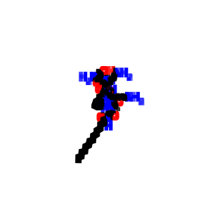 CCCCCCCCCCCCCCCC(=O)NCC(=O)N[C@@H](C)C(=O)N[C@@H](CCCCN)C(=O)N[C@@H](Cc1ccccc1)C(=O)N[C@@H](CCCCN)C(=O)N[C@H](C(N)=O)[C@@H](C)O